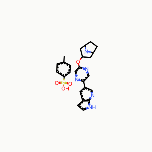 CN1C2CCC1CC(Oc1cnc(-c3cnc4[nH]ccc4c3)cn1)C2.Cc1ccc(S(=O)(=O)O)cc1